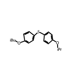 CCC(C)Oc1ccc(Sc2ccc(OC(C)C)cc2)cc1